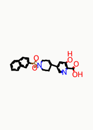 O=C(O)c1ncc(C2=CCN(S(=O)(=O)c3ccc4ccccc4c3)CC2)cc1O